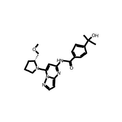 COC[C@H]1CCCN1c1cc(NC(=O)c2ccc(C(C)(C)O)cc2)nc2ccnn12